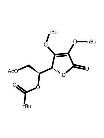 CCCCOC1=C(OCCCC)[C@@H]([C@H](COC(C)=O)OC(=O)C(C)(C)C)OC1=O